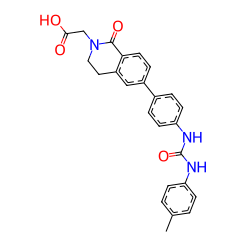 Cc1ccc(NC(=O)Nc2ccc(-c3ccc4c(c3)CCN(CC(=O)O)C4=O)cc2)cc1